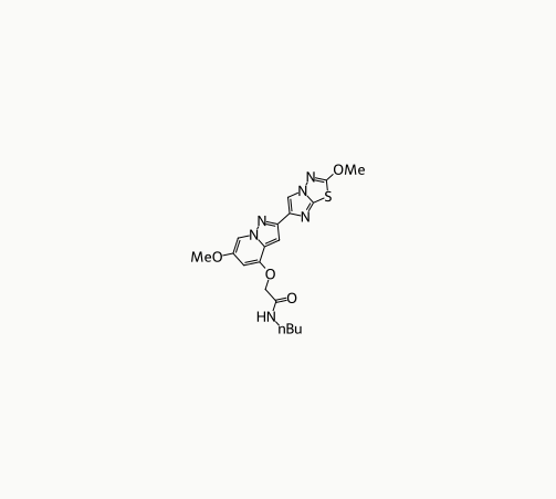 CCCCNC(=O)COc1cc(OC)cn2nc(-c3cn4nc(OC)sc4n3)cc12